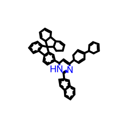 C1=CCC(C2=CCC(C3=CC(c4ccc5c(c4)C4(c6ccccc6-5)C5C=CC=CC5C5C=CCCC54)NC(c4ccc5ccccc5c4)=N3)C=C2)C=C1